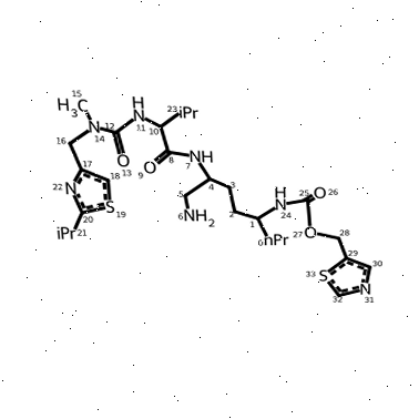 CCCC(CCC(CN)NC(=O)C(NC(=O)N(C)Cc1csc(C(C)C)n1)C(C)C)NC(=O)OCc1cncs1